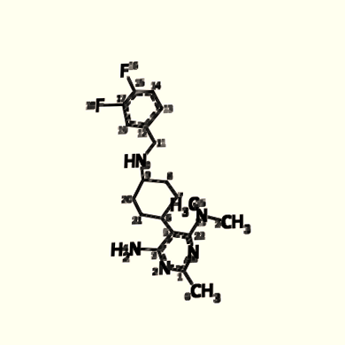 Cc1nc(N)c(C2CCC(NCc3ccc(F)c(F)c3)CC2)c(N(C)C)n1